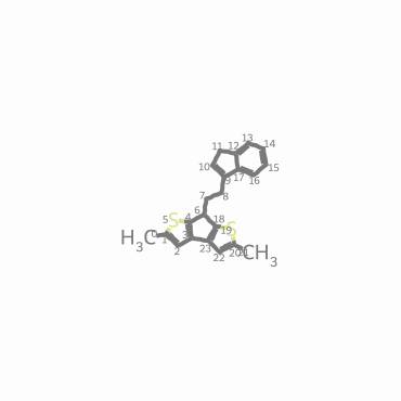 Cc1cc2c(s1)C(CCC1=CCc3ccccc31)c1sc(C)cc1-2